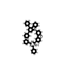 c1ccc(C2=NC(c3ccccc3)NC(c3ccc4oc5ccc(-n6c7ccccc7c7c(-c8ccccc8)cc(-c8ccccc8)cc76)cc5c4c3)=N2)cc1